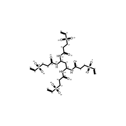 C=CS(=O)(=O)CCC(=O)NC(CC(NC(=O)CCS(=O)(=O)C=C)NC(=O)CCS(=O)(=O)C=C)NC(=O)CCS(=O)(=O)C=C